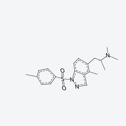 C[C](Cc1ccc2c(cnn2S(=O)(=O)c2ccc(C)cc2)c1C)N(C)C